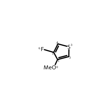 COc1cs[c]c1F